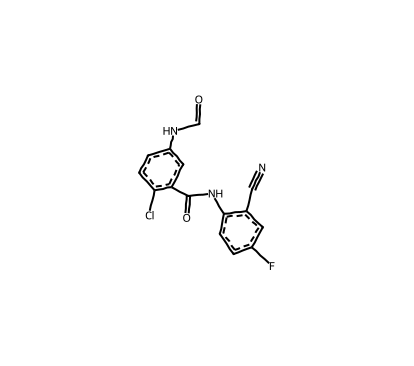 N#Cc1cc(F)ccc1NC(=O)c1cc(NC=O)ccc1Cl